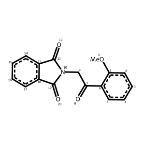 COc1ccccc1C(=O)CN1C(=O)c2ccccc2C1=O